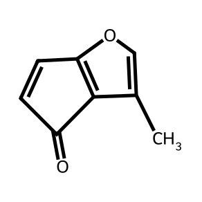 Cc1coc2c1C(=O)C=C2